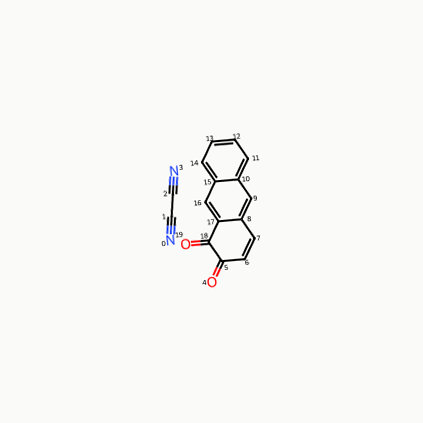 N#CC#N.O=C1C=Cc2cc3ccccc3cc2C1=O